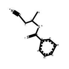 CC(CC#N)SC(=S)c1ccccc1